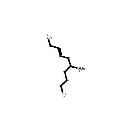 COC(C/C=C/CO)CCCC(C)C